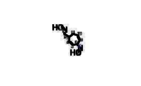 ON=CC1C=C/C(=N\O)C=CC1